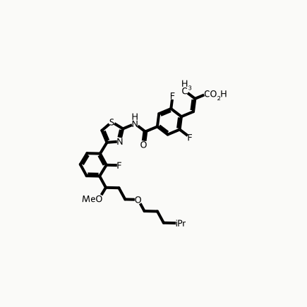 COC(CCOCCCC(C)C)c1cccc(-c2csc(NC(=O)c3cc(F)c(C=C(C)C(=O)O)c(F)c3)n2)c1F